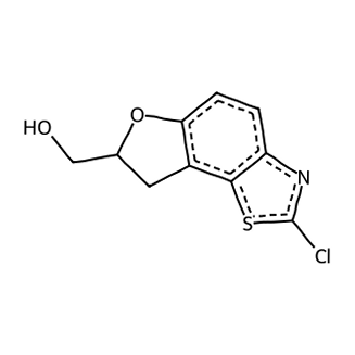 OCC1Cc2c(ccc3nc(Cl)sc23)O1